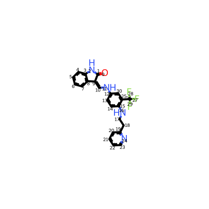 O=C1Nc2ccccc2C1=CNc1ccc(NCCc2ccccn2)c(C(F)(F)F)c1